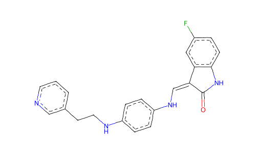 O=C1Nc2ccc(F)cc2C1=CNc1ccc(NCCc2cccnc2)cc1